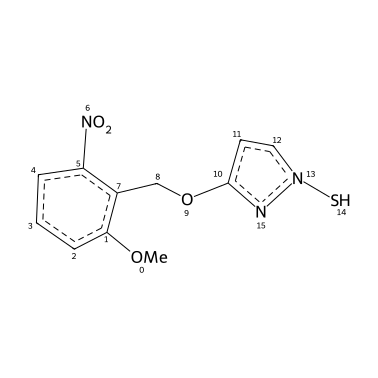 COc1cccc([N+](=O)[O-])c1COc1ccn(S)n1